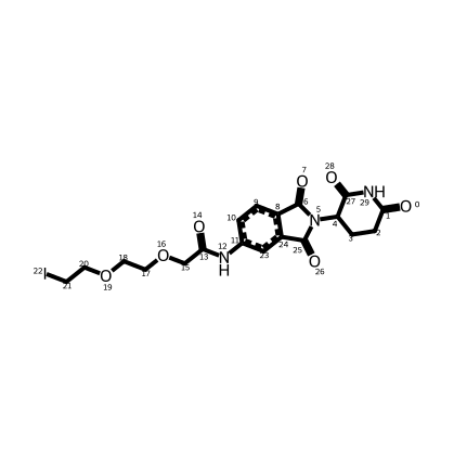 O=C1CCC(N2C(=O)c3ccc(NC(=O)COCCOCCI)cc3C2=O)C(=O)N1